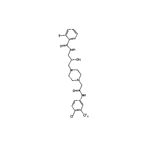 O=C(CN1CCN(CC(O)C[AsH]C(=O)c2ccccc2F)CC1)Nc1ccc(Cl)c(C(F)(F)F)c1